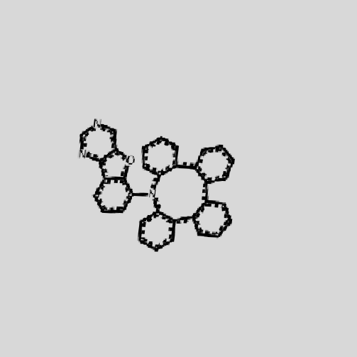 c1ccc2c(c1)c1ccccc1c1ccccc1n(-c1cccc3c1oc1cncnc13)c1ccccc21